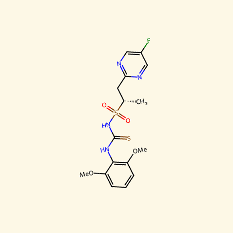 COc1cccc(OC)c1NC(=S)NS(=O)(=O)[C@@H](C)Cc1ncc(F)cn1